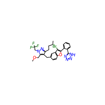 CCCCc1nn(CC(F)(F)F)c(COC)c1Cc1ccc2oc(-c3ccccc3-c3nnn[nH]3)c(Br)c2c1